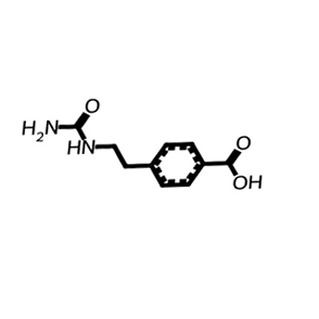 NC(=O)NCCc1ccc(C(=O)O)cc1